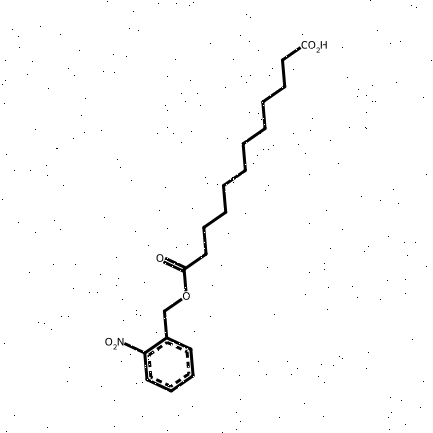 O=C(O)CCCCCCCCCCC(=O)OCc1ccccc1[N+](=O)[O-]